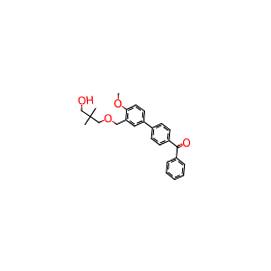 COc1ccc(-c2ccc(C(=O)c3ccccc3)cc2)cc1COCC(C)(C)CO